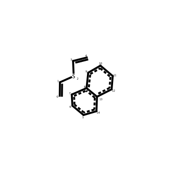 C=CSC=C.c1ccc2ccccc2c1